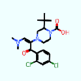 CN(C)/C=C(\C(=O)c1ccc(Cl)cc1Cl)N1CCN(C(=O)O)C(C(C)(C)C)C1